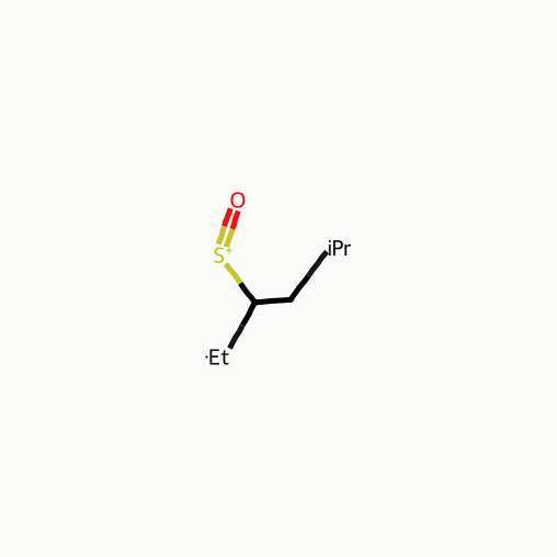 C[CH]C(CC(C)C)[S+]=O